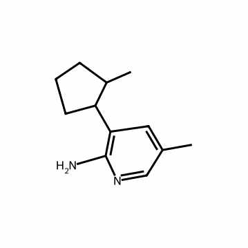 Cc1cnc(N)c(C2CCCC2C)c1